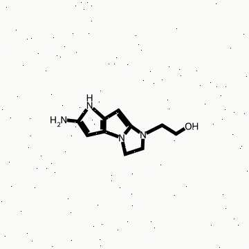 Nc1cc2c(cc3n2CCN3CCO)[nH]1